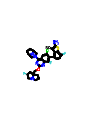 N#Cc1c(N)sc2c(F)ccc(-c3c(Cl)cc4c(N5CC6CCC(C5)N6)nc(OCC56CCCN5C[C@H](F)C6)nc4c3F)c12